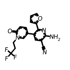 N#Cc1cc(-c2ccc(=O)n(CCC(F)(F)F)c2)c(-c2ccco2)nc1N